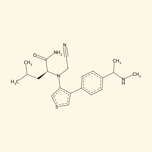 CNC(C)c1ccc(-c2cscc2N(CC#N)[C@@H](CC(C)C)C(N)=O)cc1